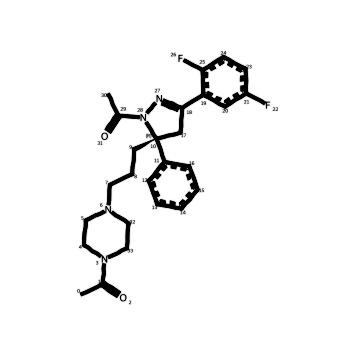 CC(=O)N1CCN(CCC[C@]2(c3ccccc3)CC(c3cc(F)ccc3F)=NN2C(C)=O)CC1